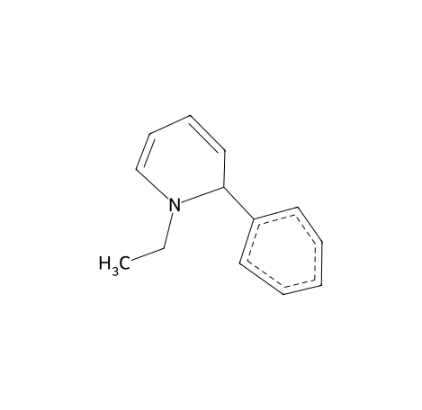 CCN1C=CC=CC1c1ccccc1